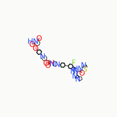 O=C1CCC(Oc2ccc(N3CCC(O)(CC(=O)N4CCN(c5ccc(-c6cc(F)c7cn(C(C(=O)Nc8nccs8)c8ncn9c8CCC9)nc7c6)cc5)CC4)CC3)cc2)C(=O)N1